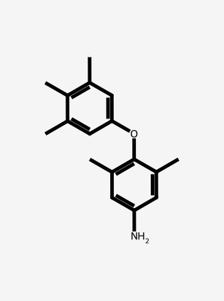 Cc1cc(Oc2c(C)cc(N)cc2C)cc(C)c1C